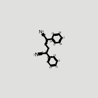 N#C/C(=C/CC(C#N)c1ccccc1)c1ccccc1